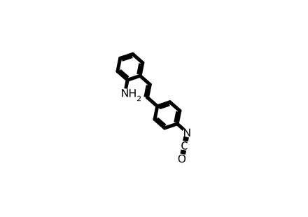 Nc1ccccc1/C=C/c1ccc(N=C=O)cc1